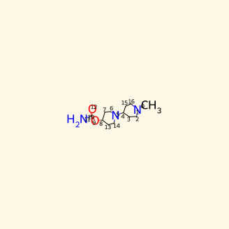 CN1CCC(N2CCC(OC(N)=O)CC2)CC1